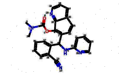 CN(C)C(=O)Oc1c(C(Nc2ccccn2)c2ccccc2C#N)ccc2cccnc12